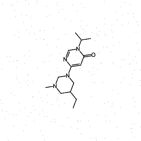 CCC1CN(C)CN(c2cc(=O)n(C(C)C)cn2)C1